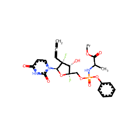 C=C=C[C@]1(F)[C@H](n2ccc(=O)[nH]c2=O)O[C@](F)(COP(=O)(NC(C)C(=O)OC(C)C)Oc2ccccc2)[C@H]1O